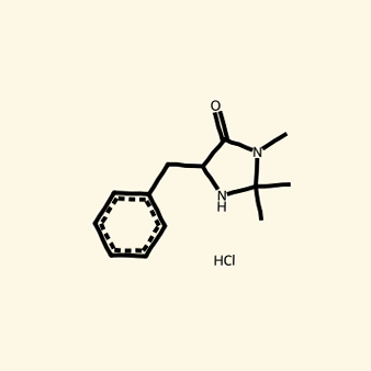 CN1C(=O)C(Cc2ccccc2)NC1(C)C.Cl